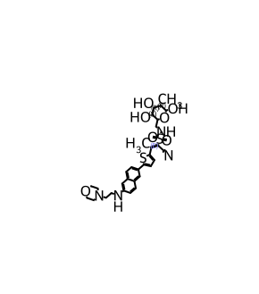 C/C(=C(/C#N)S(=O)(=O)NCC1OC(O)[C@H](C)[C@@H](O)[C@@H]1O)c1ccc(-c2ccc3cc(NCCN4CCOCC4)ccc3c2)s1